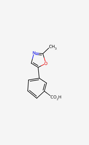 Cc1ncc(-c2cccc(C(=O)O)c2)o1